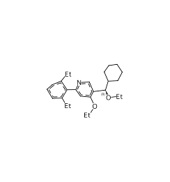 CCOc1cc(-c2c(CC)cccc2CC)ncc1[C@H](OCC)C1CCCCC1